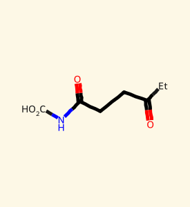 [CH2]CC(=O)CCC(=O)NC(=O)O